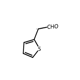 O=C[CH]c1cccs1